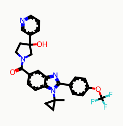 CC1(n2c(-c3ccc(OC(F)(F)F)cc3)nc3cc(C(=O)N4CCC(O)(c5cccnc5)C4)ccc32)CC1